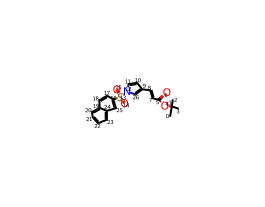 CC(C)(C)OC(=O)C=Cc1ccn(S(=O)(=O)c2ccc3ccccc3c2)c1